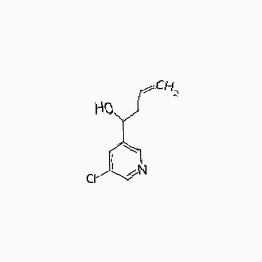 C=CCC(O)c1cncc(Cl)c1